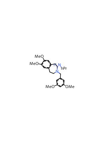 CCCN.COc1cc(CN2CCc3cc(OC)c(OC)cc3CC2)cc(OC)c1